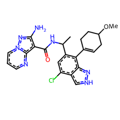 COC1CC=C(c2c(C(C)NC(=O)c3c(N)nn4cccnc34)cc(Cl)c3c[nH]nc23)CC1